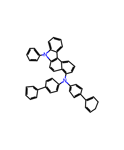 C1=CC(c2ccc(N(c3ccc(-c4ccccc4)cc3)c3cccc4c3ccc3c4c4ccccc4n3-c3ccccc3)cc2)=CCC1